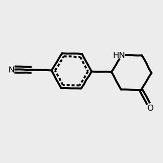 N#Cc1ccc(C2CC(=O)CCN2)cc1